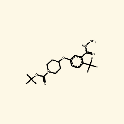 CC(C)(C)OC(=O)N1CCC(Oc2ccc(C(F)(F)F)c(C(=O)NN)c2)CC1